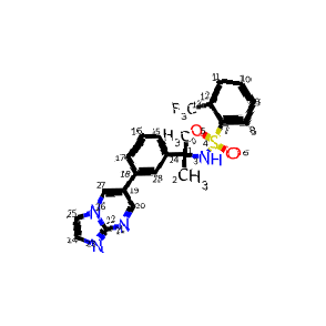 CC(C)(NS(=O)(=O)c1ccccc1C(F)(F)F)c1cccc(-c2cnc3nccn3c2)c1